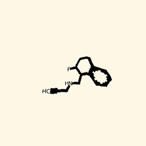 C#CCNCC1c2ccccc2CCC1F